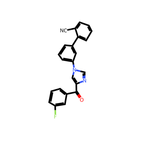 N#Cc1ccccc1-c1cccc(-n2cnc(C(=O)c3cccc(F)c3)c2)c1